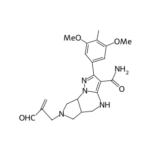 C=C(C=O)CN1CC2CNc3c(C(N)=O)c(-c4cc(OC)c(C)c(OC)c4)nn3C2C1